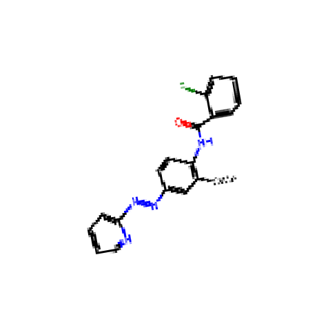 COc1cc(/N=N/c2ccccn2)ccc1NC(=O)c1ccccc1F